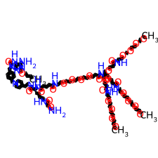 CCCCOc1nc(N)c2[nH]c(=O)n(Cc3ccc(CN4CCC(CCNC(=O)[C@H](CCCCNC(=O)CON)NC(=O)CCCC(=O)NCCOCCOCCOCCOCCC(=O)NC(COCCC(=O)NCCOCCOCCOCCOC)(COCCC(=O)NCCOCCOCCOCCOC)COCCC(=O)NCCOCCOCCOCCOC)CC4)cc3)c2n1